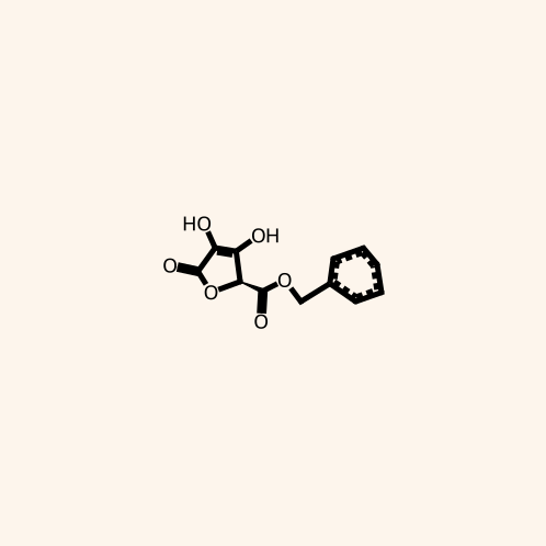 O=C1O[C@H](C(=O)OCc2ccccc2)C(O)=C1O